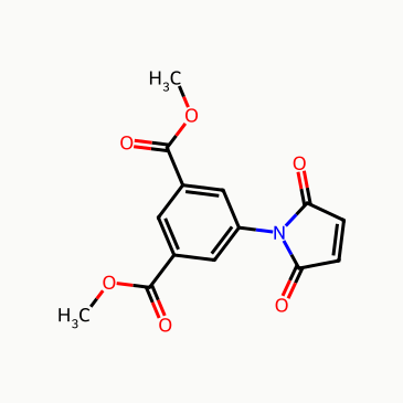 COC(=O)c1cc(C(=O)OC)cc(N2C(=O)C=CC2=O)c1